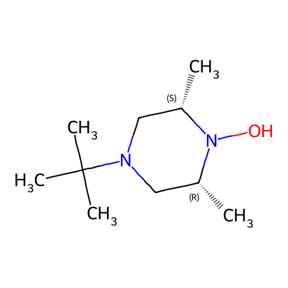 C[C@@H]1CN(C(C)(C)C)C[C@H](C)N1O